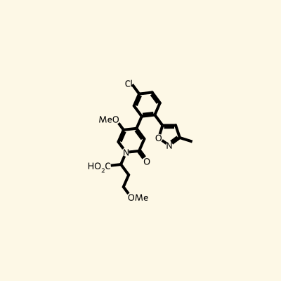 COCCC(C(=O)O)n1cc(OC)c(-c2cc(Cl)ccc2-c2cc(C)no2)cc1=O